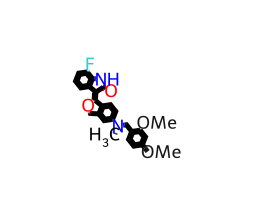 COc1ccc(CN(C)c2ccc3c(c2)COC3=C2C(=O)Nc3c(F)cccc32)c(OC)c1